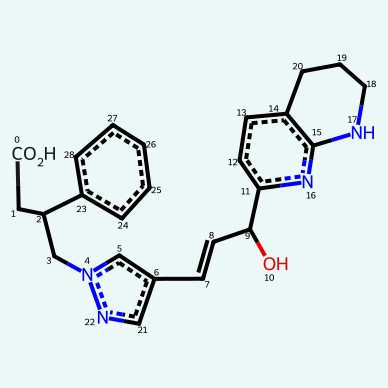 O=C(O)CC(Cn1cc(/C=C/C(O)c2ccc3c(n2)NCCC3)cn1)c1ccccc1